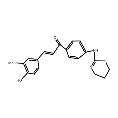 COc1cc(/C=C/C(=O)c2ccc(NC3=NCCCS3)cc2)ccc1O